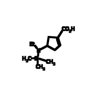 CCN(C1CC=C(C(=O)O)C1)[Si](C)(C)C